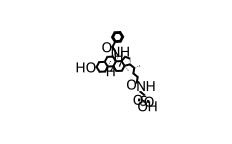 C[C@H](CCC(=O)NCCS(=O)(=O)O)[C@H]1CC[C@@]2(C)[C@@H]3[C@@H](NC(=O)c4ccccc4)CC4C[C@H](O)CC[C@]4(C)[C@H]3CC[C@]12C